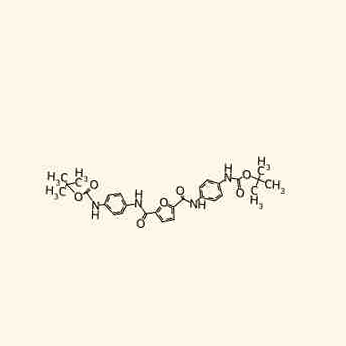 CC(C)(C)OC(=O)Nc1ccc(NC(=O)c2ccc(C(=O)Nc3ccc(NC(=O)OC(C)(C)C)cc3)o2)cc1